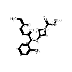 C=C(/C=C\C(Cl)=C/C)[C@@H](OC1CN(C(=O)NC(C)(C)C)C1)c1ccccc1C(F)(F)F